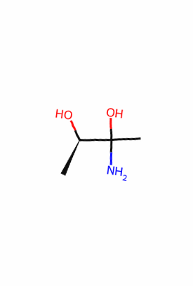 C[C@@H](O)C(C)(N)O